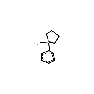 C[N+]1(c2ccccc2)CCCC1